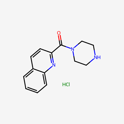 Cl.O=C(c1ccc2ccccc2n1)N1CCNCC1